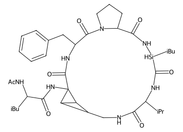 CCC(C)C(NC(C)=O)C(=O)NC12C(=O)NC(Cc3ccccc3)C(=O)N3CCCC3C(=O)N[SiH](C(C)CC)C(=O)NC(C(C)C)C(=O)NCC3C1C32